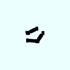 [S]=[W].[S]=[W]=[S]